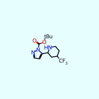 CC(C)(C)OC(=O)n1nccc1C1CC(C(F)(F)F)CCN1